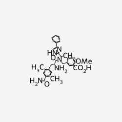 COc1ccc(CN(C(=O)C(N)Cc2cc(C)c(C(N)=O)cc2C)C(C)c2nc(-c3ccccc3)c[nH]2)cc1C(=O)O